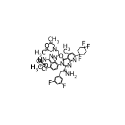 Cc1cc(C2(F)CCC(F)(F)CC2)nc2nc([C@@H](N)Cc3cc(F)cc(F)c3)n(-c3ccc(Cl)c4c(NS(C)(=O)=O)nn(CCN5C[C@@H](C)O[C@@H](C)C5)c34)c(=O)c12